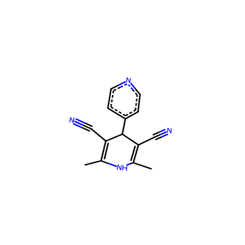 CC1=C(C#N)C(c2ccncc2)C(C#N)=C(C)N1